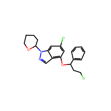 ClCCC(Oc1cc(Cl)cc2c1cnn2C1CCCCO1)c1ccccc1